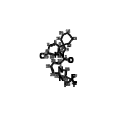 O=C(NCC1(c2ccc(Cl)cc2)CCCCC1)c1cccc2nc(C(F)(F)F)cn12